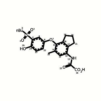 CCCCS(=O)(=O)c1cc(Oc2c(C)cc(NC(=O)C(=O)O)c3c2CCC3)ccc1O